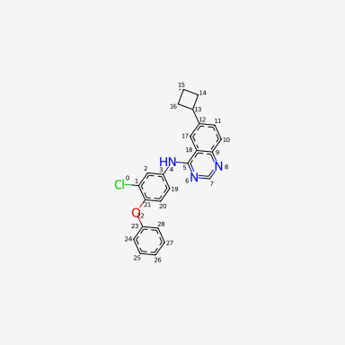 Clc1cc(Nc2ncnc3ccc(C4C[CH]C4)cc23)ccc1Oc1ccccc1